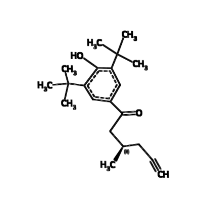 C#CC[C@@H](C)CC(=O)c1cc(C(C)(C)C)c(O)c(C(C)(C)C)c1